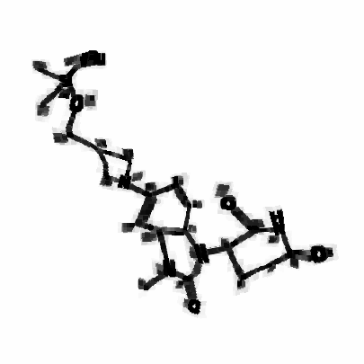 Cn1c(=O)n(C2CCC(=O)NC2=O)c2ccc(N3CC(CO[Si](C)(C)C(C)(C)C)C3)cc21